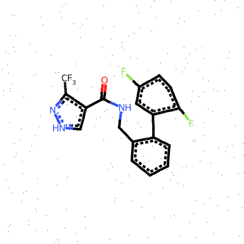 O=C(NCc1ccccc1-c1cc(F)ccc1F)c1c[nH]nc1C(F)(F)F